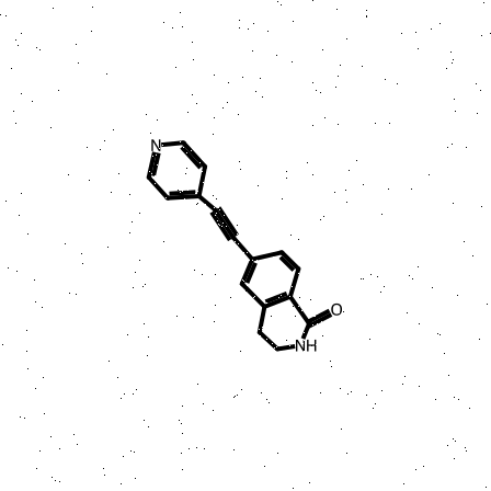 O=C1NCCc2cc(C#Cc3ccncc3)ccc21